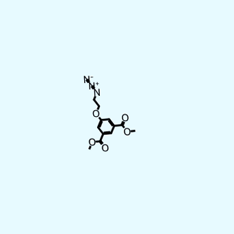 COC(=O)c1cc(OCCN=[N+]=[N-])cc(C(=O)OC)c1